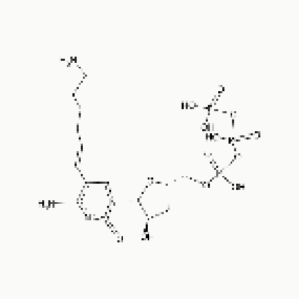 NCCCCC=Cc1cn([C@@H]2O[C@H](COP(=O)(O)OP(=O)(O)OP(=O)(O)O)C[C@H]2O)c(=O)nc1N